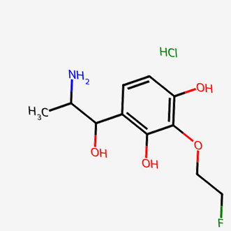 CC(N)C(O)c1ccc(O)c(OCCF)c1O.Cl